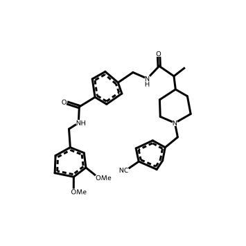 COc1ccc(CNC(=O)c2ccc(CNC(=O)C(C)C3CCN(Cc4ccc(C#N)cc4)CC3)cc2)cc1OC